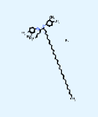 CCCCCCCCCCCCCCCCCCCCCCCCCC/C=C/C(=N\c1ccc(C)c(C)c1)C(/CCCC)=N/c1ccc(C)c(C)c1.[Pd]